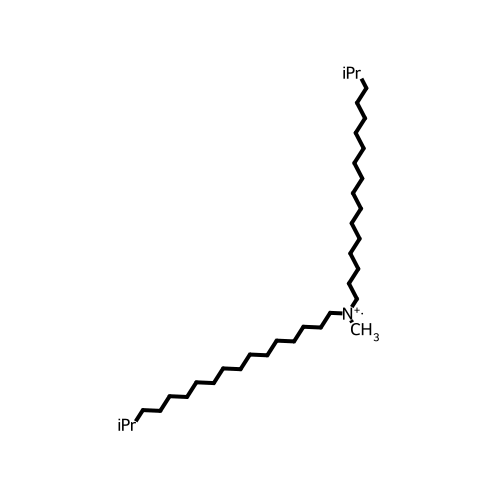 CC(C)CCCCCCCCCCCCCCC[N+](C)CCCCCCCCCCCCCCCC(C)C